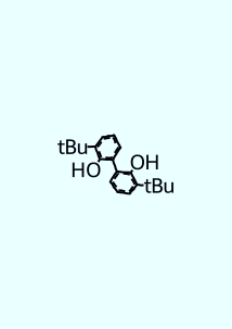 CC(C)(C)c1cccc(-c2cccc(C(C)(C)C)c2O)c1O